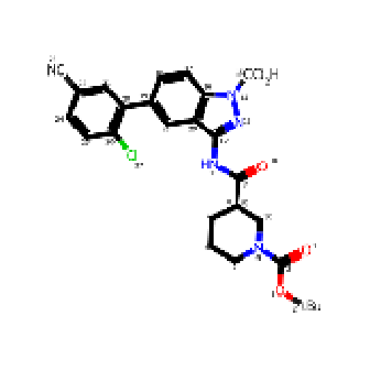 CC(C)(C)OC(=O)N1CCC[C@@H](C(=O)Nc2nn(C(=O)O)c3ccc(-c4cc(C#N)ccc4Cl)cc23)C1